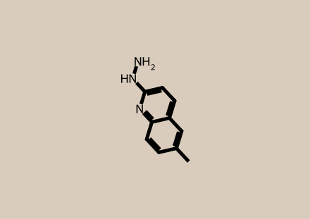 Cc1ccc2nc(NN)ccc2c1